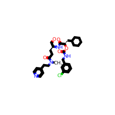 CN(CCc1ccncc1)C(=O)CC[C@@H](C=O)NC(=O)[C@H](CC1CCCCC1)OC(=O)NCc1cccc(Cl)c1